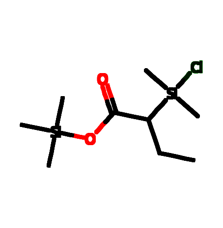 CCC(C(=O)O[Si](C)(C)C)[Si](C)(C)Cl